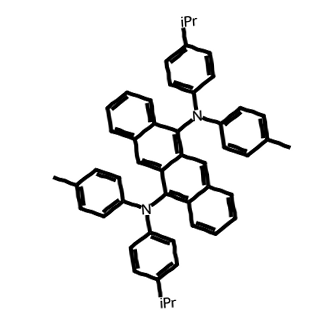 Cc1ccc(N(c2ccc(C(C)C)cc2)c2c3ccccc3cc3c(N(c4ccc(C)cc4)c4ccc(C(C)C)cc4)c4ccccc4cc23)cc1